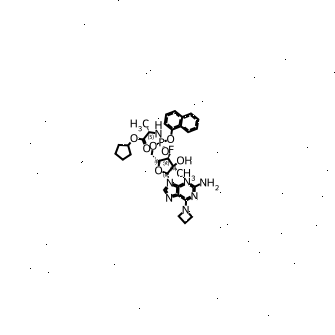 C[C@H](NP(=O)(OC[C@H]1O[C@@H](n2cnc3c(N4CCC4)nc(N)nc32)[C@](C)(O)[C@@H]1F)Oc1cccc2ccccc12)C(=O)OC1CCCC1